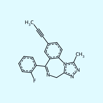 CC#Cc1ccc2c(c1)C(c1ccccc1F)=NCc1nnc(C)n1-2